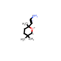 CC1(C)CCC(C)(/C=C/N)OC1